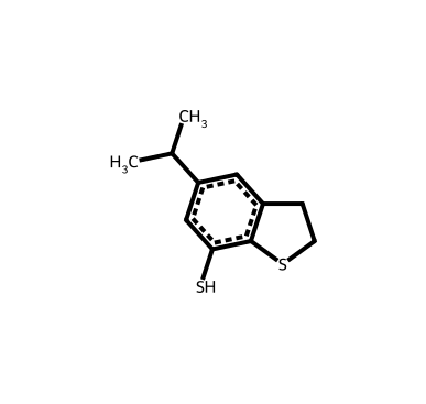 CC(C)c1cc(S)c2c(c1)CCS2